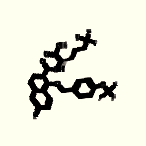 O=C(N[C@@H](CCCC(F)(F)F)C(=O)O)c1ccc2cc(F)ccc2c1OCc1ccc(OC(F)(F)F)cc1